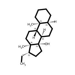 CC[C@H]1CC[C@]2(O)[C@@H]3CC[C@@H]4CCCC[C@]4(C)[C@H]3CC[C@]12C